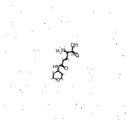 NC(CCC(=O)NC1CCOCC1)C(=O)O